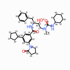 CCN(C[C@H](O)[C@H](Cc1ccccc1)NC(=O)c1cc(C2CCCC2)cc(N2CCCC2=O)c1)C(=O)NC1CCCCC1